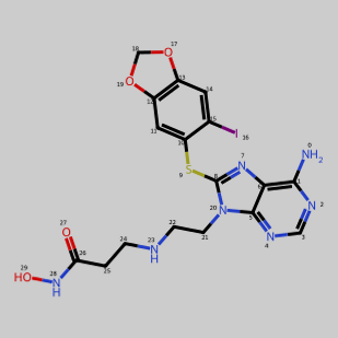 Nc1ncnc2c1nc(Sc1cc3c(cc1I)OCO3)n2CCNCCC(=O)NO